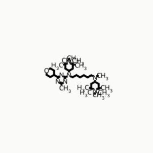 Cc1nc(C2CCOCC2)nc(N(CCCCCCN(C)C2CC(C)(C)N(C)C(C)(C)C2)C2CC(C)(C)N(C)C(C)(C)C2)n1